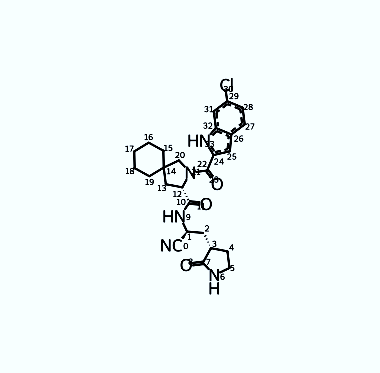 N#C[C@H](C[C@@H]1CCNC1=O)NC(=O)[C@@H]1CC2(CCCCC2)CN1C(=O)c1cc2ccc(Cl)cc2[nH]1